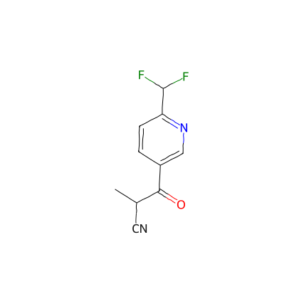 CC(C#N)C(=O)c1ccc(C(F)F)nc1